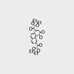 CCOC(OCC)C(=O)C1=CC(=O)C(=O)c2c1ccc1ccc(C(=O)C(OCC)OCC)cc21